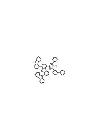 c1ccc(C2=NC(c3ccc(-c4cccc5oc6ccccc6c45)c4sc5c(-n6c7ccccc7c7ccccc76)cccc5c34)=NC(c3cccc(-c4ccccc4)c3)N2)cc1